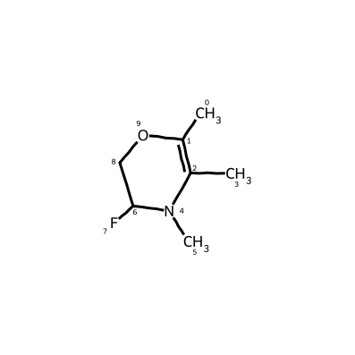 CC1=C(C)N(C)C(F)CO1